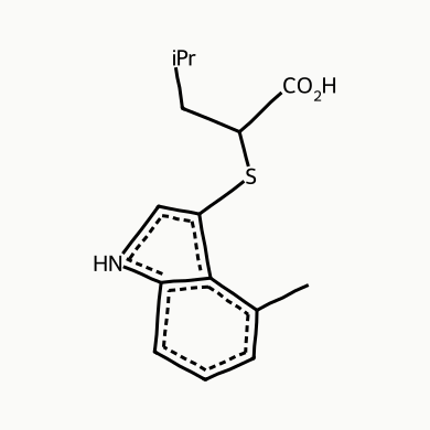 Cc1cccc2[nH]cc(SC(CC(C)C)C(=O)O)c12